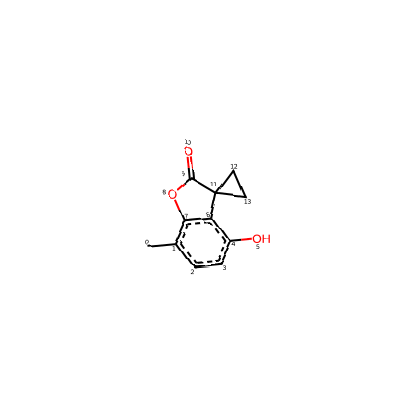 Cc1ccc(O)c2c1OC(=O)C21CC1